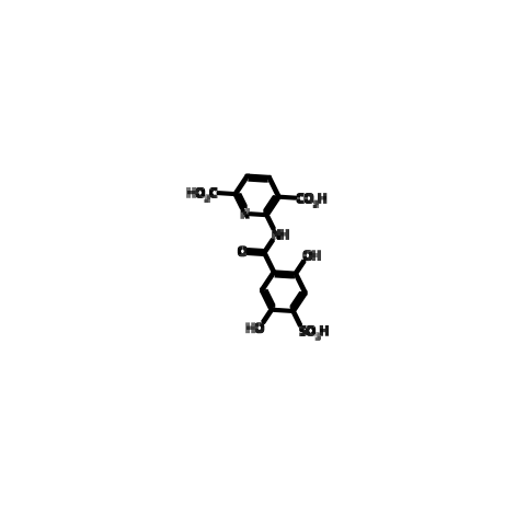 O=C(O)c1ccc(C(=O)O)c(NC(=O)c2cc(O)c(S(=O)(=O)O)cc2O)n1